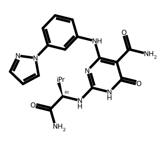 CC(C)[C@@H](Nc1nc(Nc2cccc(-n3cccn3)c2)c(C(N)=O)c(=O)[nH]1)C(N)=O